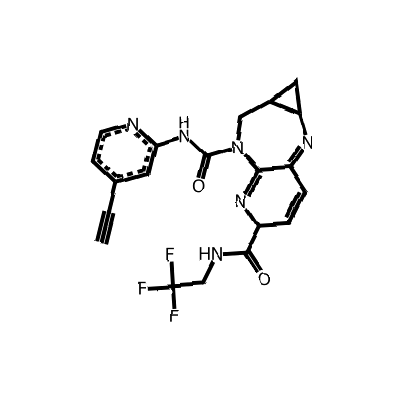 C#Cc1ccnc(NC(=O)N2CC3CC3N=C3C=CC(C(=O)NCC(F)(F)F)N=C32)c1